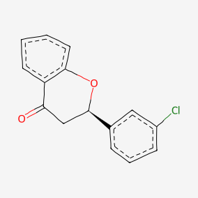 O=C1C[C@H](c2cccc(Cl)c2)Oc2ccccc21